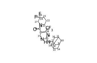 O=C(c1cnc(NC23CC4CC(CC(C4)C2)C3)nc1C(F)(F)F)N1CCCC(F)(F)C1